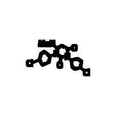 CNc1cc(=O)n(-c2ccc(Cl)cc2)c(=O)n1-c1ccc(Cl)cc1